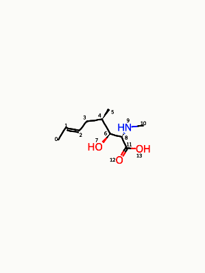 C/C=C/C[C@@H](C)[C@H](O)[C@H](NC)C(=O)O